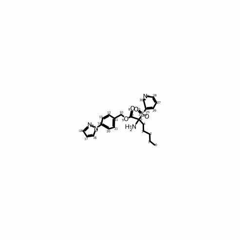 CCCCCC(N)(C(=O)OCc1ccc(-n2cccn2)cc1)S(=O)(=O)c1cccnc1